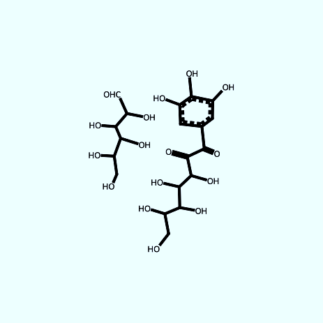 O=C(C(=O)C(O)C(O)C(O)C(O)CO)c1cc(O)c(O)c(O)c1.O=CC(O)C(O)C(O)C(O)CO